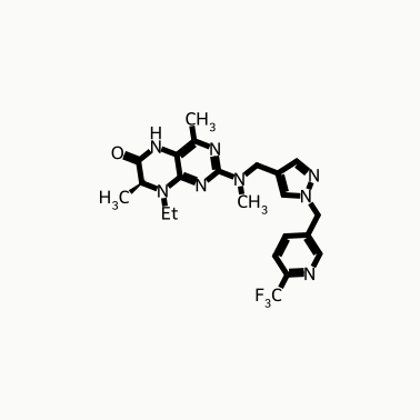 CCN1c2nc(N(C)Cc3cnn(Cc4ccc(C(F)(F)F)nc4)c3)nc(C)c2NC(=O)[C@@H]1C